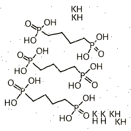 O=P(O)(O)CCCCP(=O)(O)O.O=P(O)(O)CCCCP(=O)(O)O.O=P(O)(O)CCCCP(=O)(O)O.[KH].[KH].[KH].[KH].[KH].[KH]